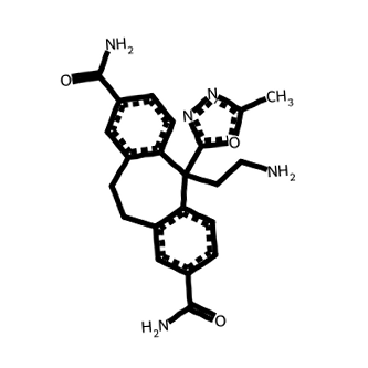 Cc1nnc(C2(CCN)c3ccc(C(N)=O)cc3CCc3cc(C(N)=O)ccc32)o1